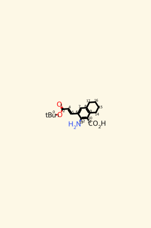 CC(C)(C)OC(=O)C=Cc1cc2c(c(C(=O)O)c1N)CCCC2